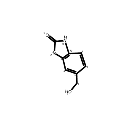 O=C1[N]c2cc(CO)ccc2N1